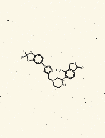 Cc1c([C@@H]2CN(Cc3cn(-c4ccc5c(c4)OC(F)(F)O5)cn3)CCN2)ccc2c1COC2=O